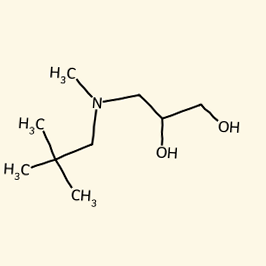 CN(CC(O)CO)CC(C)(C)C